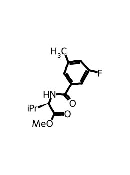 COC(=O)[C@H](NC(=O)c1cc(C)cc(F)c1)C(C)C